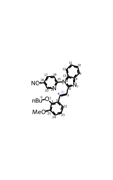 CCCCOc1c(/C=C/c2nc3ccccc3n2-c2ccc(C#N)cn2)cccc1OC